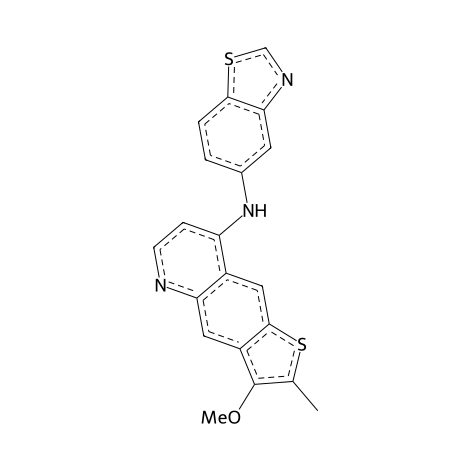 COc1c(C)sc2cc3c(Nc4ccc5scnc5c4)ccnc3cc12